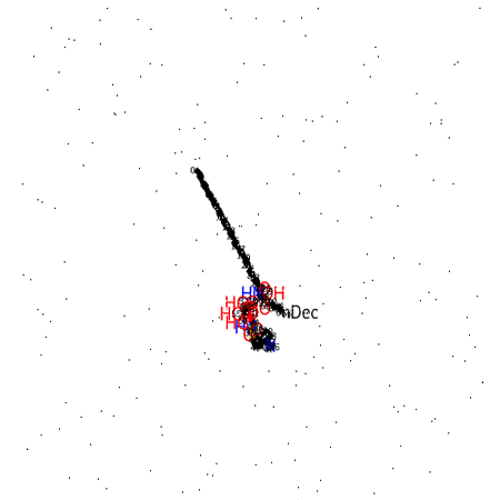 CC#CC#CC#CC#CC#CC#CC#CC#CC#CC#CC#CC#CC(=O)N[C@@H](COC1OC(CNS(=O)(=O)c2cccc3c(N(C)C)cccc23)C(O)C(O)C1O)[C@H](O)[C@H](O)CCCCCCCCCCCCCC